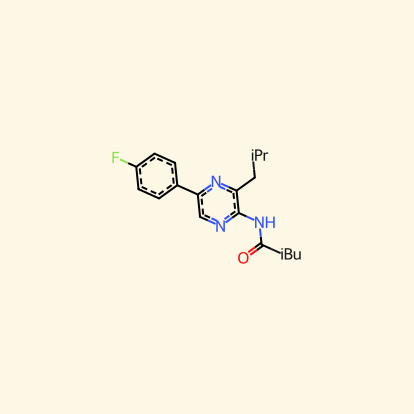 CCC(C)C(=O)Nc1ncc(-c2ccc(F)cc2)nc1CC(C)C